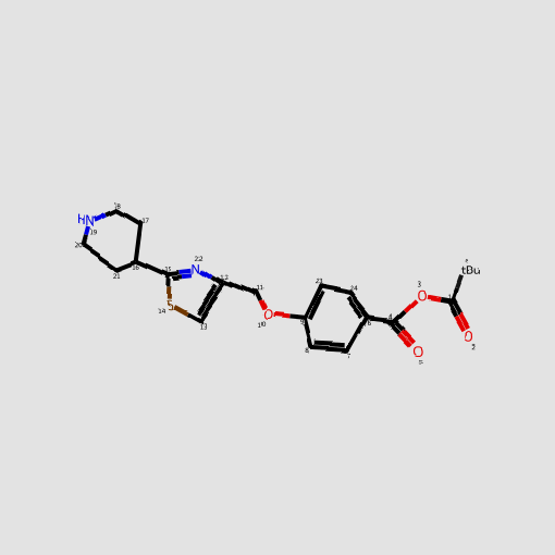 CC(C)(C)C(=O)OC(=O)c1ccc(OCc2csc(C3CCNCC3)n2)cc1